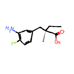 CC[C@](C)(Cc1ccc(F)c(N)c1)C(=O)O